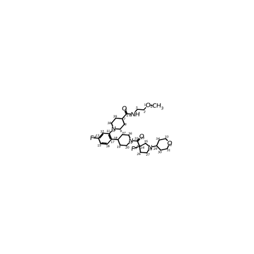 COCCNC(=O)C1CCN(c2cc(F)ccc2C2CCN(C(=O)[C@@]3(F)CCN(C4CCOCC4)C3)CC2)CC1